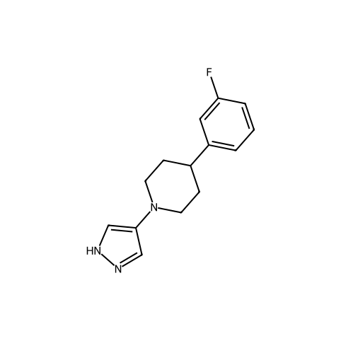 Fc1cccc(C2CCN(c3cn[nH]c3)CC2)c1